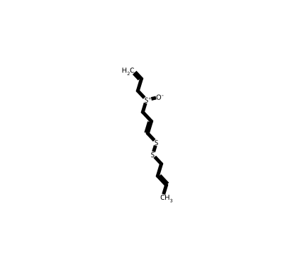 C=CC[S+]([O-])CC=CSSCC=CC